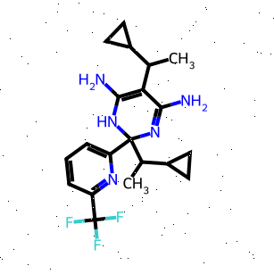 CC(C1=C(N)NC(c2cccc(C(F)(F)F)n2)(C(C)C2CC2)N=C1N)C1CC1